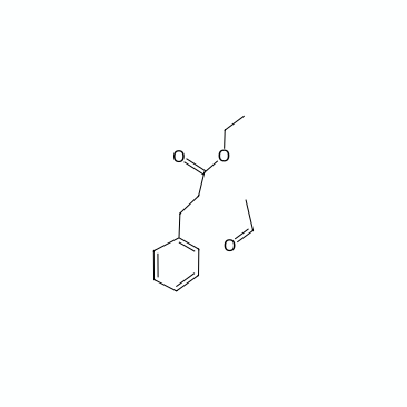 CC=O.CCOC(=O)CCc1ccccc1